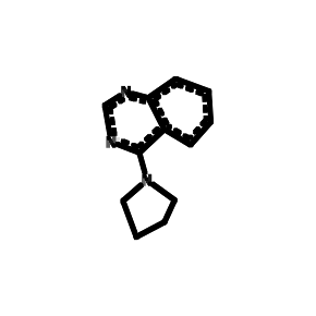 c1ccc2c(N3CCCC3)ncnc2c1